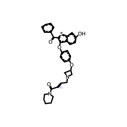 O=C(c1ccccc1)c1sc2cc(O)ccc2c1Oc1ccc(OC2CN(C/C=C/C(=O)N3CCCCC3)C2)cc1